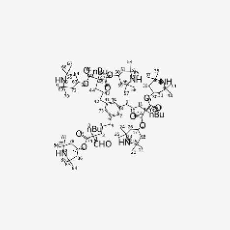 CCCCC(C=O)(CCCc1cc(CCCC(CCCC)(C(=O)OC2CC(C)(C)NC(C)(C)C2)C(=O)OC2CC(C)(C)NC(C)(C)C2)cc(CCCC(CCCC)(C(=O)OC2CC(C)(C)NC(C)(C)C2)C(=O)OC2CC(C)(C)NC(C)(C)C2)c1)C(=O)OC1CC(C)(C)NC(C)(C)C1